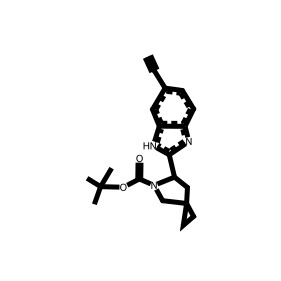 C#Cc1ccc2nc(C3CC4(CC4)CN3C(=O)OC(C)(C)C)[nH]c2c1